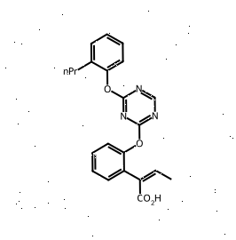 CC=C(C(=O)O)c1ccccc1Oc1ncnc(Oc2ccccc2CCC)n1